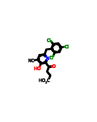 N#Cc1cc(Cc2c(Cl)cc(Cl)cc2Cl)nc(C(=O)CCC(=O)O)c1O